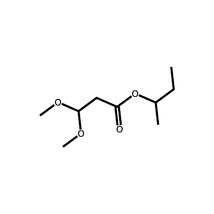 CCC(C)OC(=O)CC(OC)OC